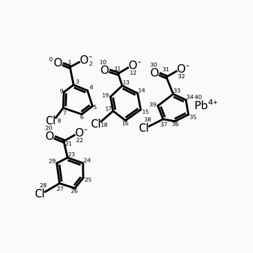 O=C([O-])c1cccc(Cl)c1.O=C([O-])c1cccc(Cl)c1.O=C([O-])c1cccc(Cl)c1.O=C([O-])c1cccc(Cl)c1.[Pb+4]